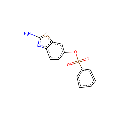 Nc1nc2ccc(OS(=O)(=O)c3ccccc3)cc2s1